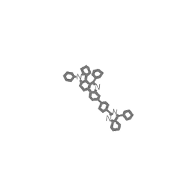 c1ccc(-c2nc(-c3ccc(-c4ccc5c(c4)nc(-c4ccccc4)c4c5ccc5c4c4ccccc4n5-c4ccccc4)cc3)nc3ccccc23)cc1